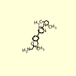 CC1CCC(C)N1c1ncc(-c2cccc(CN(C)C(=O)CN)c2)cn1